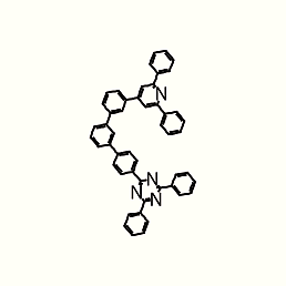 c1ccc(-c2cc(-c3cccc(-c4cccc(-c5ccc(-c6nc(-c7ccccc7)nc(-c7ccccc7)n6)cc5)c4)c3)cc(-c3ccccc3)n2)cc1